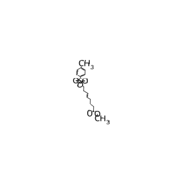 COC(=O)CCCC=CCCOS(=O)(=O)c1ccc(C)cc1